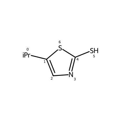 CC(C)c1cnc(S)s1